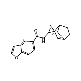 O=C(NC1N[C@@]12CC1CCC2CC1)c1ccc2occc2n1